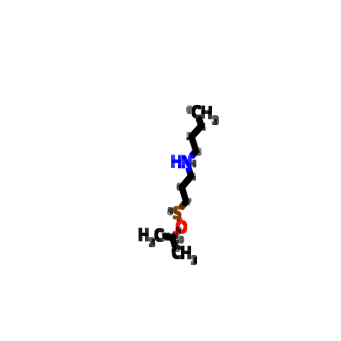 CCCCNCCCSOC(C)C